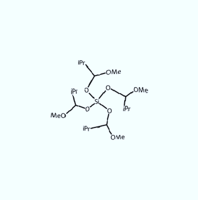 COC(O[Si](OC(OC)C(C)C)(OC(OC)C(C)C)OC(OC)C(C)C)C(C)C